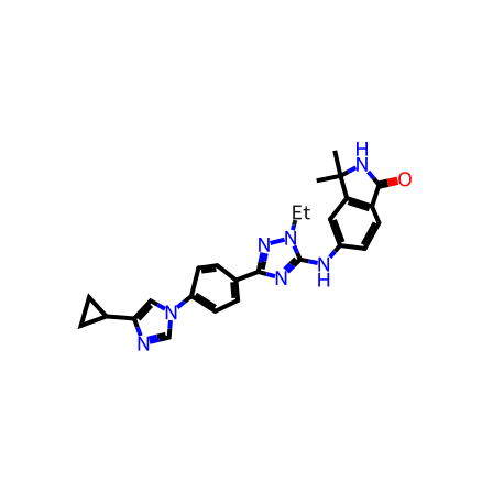 CCn1nc(-c2ccc(-n3cnc(C4CC4)c3)cc2)nc1Nc1ccc2c(c1)C(C)(C)NC2=O